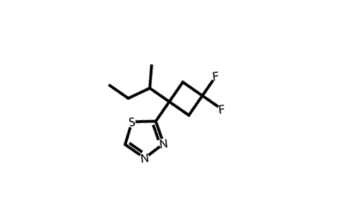 CCC(C)C1(c2nncs2)CC(F)(F)C1